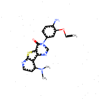 C=COc1cc(-n2cnc3c(sc4nccc(N(C)C)c43)c2=O)ccc1N